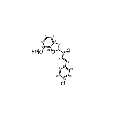 CCOc1cccc2cc(C(=O)C=Cc3ccc(Cl)cc3)oc12